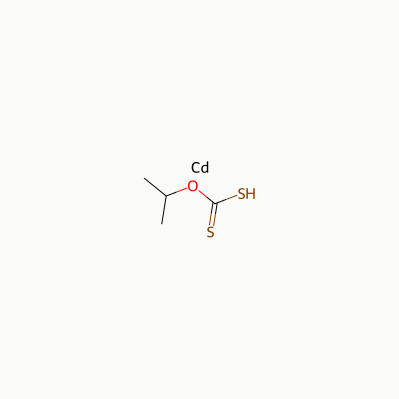 CC(C)OC(=S)S.[Cd]